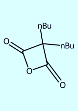 CCCCC1(CCCC)C(=O)OC1=O